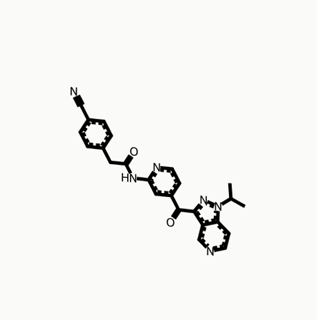 CC(C)n1nc(C(=O)c2ccnc(NC(=O)Cc3ccc(C#N)cc3)c2)c2cnccc21